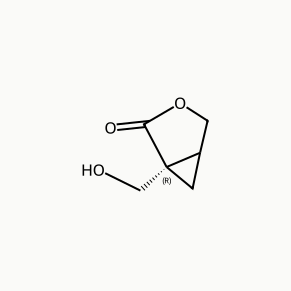 O=C1OCC2C[C@@]12CO